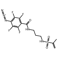 C=C(C)S(=O)(=O)NCCCNC(=O)c1c(F)c(F)c(N=[N+]=[N-])c(F)c1F